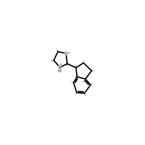 c1ccc2c(c1)CCC2C1NCCO1